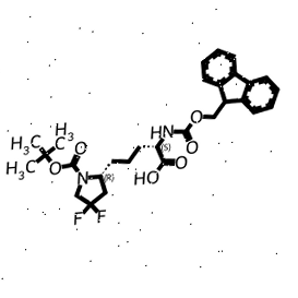 CC(C)(C)OC(=O)N1CC(F)(F)C[C@H]1CCC[C@H](NC(=O)OCC1c2ccccc2-c2ccccc21)C(=O)O